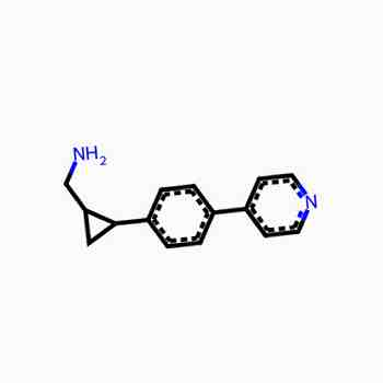 NCC1CC1c1ccc(-c2ccncc2)cc1